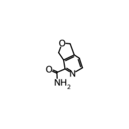 NC(=O)c1nccc2c1COC2